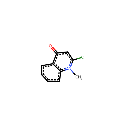 Cn1c(Cl)cc(=O)c2ccccc21